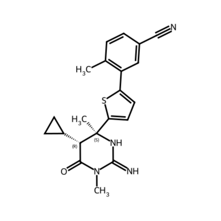 Cc1ccc(C#N)cc1-c1ccc([C@@]2(C)NC(=N)N(C)C(=O)[C@@H]2C2CC2)s1